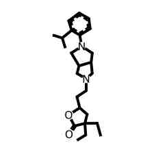 CCC1(CC)CC(CCN2CC3CN(c4ccccc4C(C)C)CC3C2)OC1=O